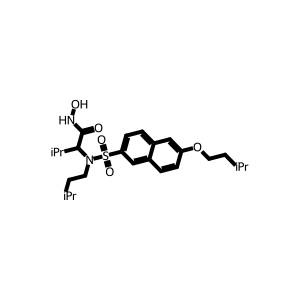 CC(C)CCOc1ccc2cc(S(=O)(=O)N(CCC(C)C)C(C(=O)NO)C(C)C)ccc2c1